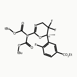 CCOC(=O)c1ccc(F)c([C@@]2(C)OC(N(C(=O)OC(C)(C)C)C(=O)OC(C)(C)C)=NCC2(F)F)c1